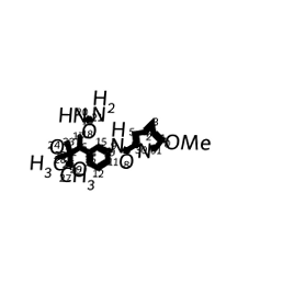 COC1=C\C=C\C=C(C(=O)Nc2ccc3c(c2)C(COC(=N)N)C2(COC2)C(C)(C)O3)/N=C\1